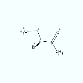 CC[C@H](Br)C(C)=O